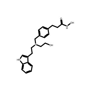 O=C(CCc1ccc(CN(CCO)CCc2c[nH]c3ccccc23)cc1)NO